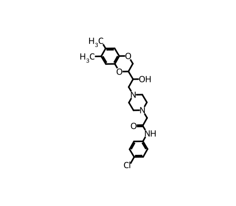 Cc1cc2c(cc1C)OC(C(O)CN1CCN(CC(=O)Nc3ccc(Cl)cc3)CC1)CO2